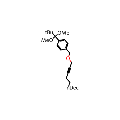 CCCCCCCCCCCCC#CCOCc1ccc(C(OC)(OC)C(C)(C)C)cc1